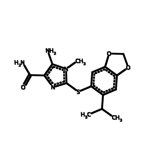 CC(C)c1cc2c(cc1Sc1nc(C(N)=O)c(N)n1C)OCO2